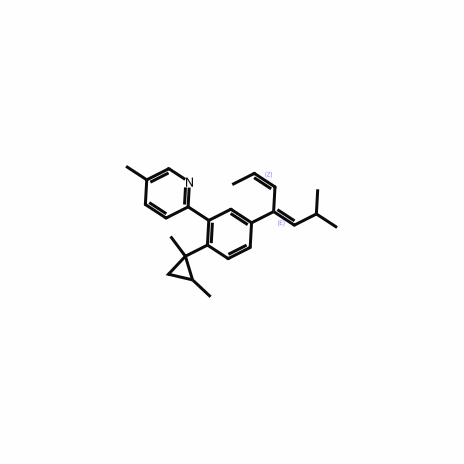 C/C=C\C(=C/C(C)C)c1ccc(C2(C)CC2C)c(-c2ccc(C)cn2)c1